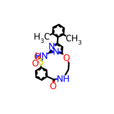 Cc1cccc(C)c1-c1cc2nc(n1)NS(=O)(=O)c1cccc(c1)C(=O)NCCCO2